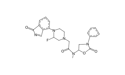 CN(C(=O)CN1CCN(c2cccc3c2C=NC3=O)C(F)C1)C1CN(c2ccccc2)C(=O)O1